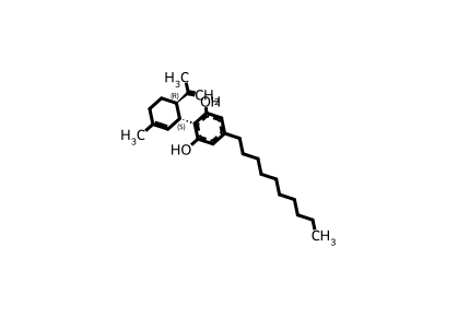 C=C(C)[C@@H]1CCC(C)=C[C@H]1c1c(O)cc(CCCCCCCCCC)cc1O